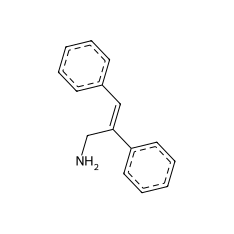 NCC(=Cc1ccccc1)c1ccccc1